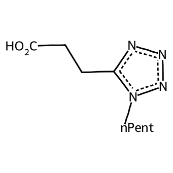 CCCCCn1nnnc1CCC(=O)O